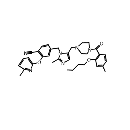 CCCCOc1cc(C)ccc1C(=O)N1CCN(Cc2cnc(C)n2Cc2ccc(C#N)c(Oc3cccc(C)n3)c2)CC1